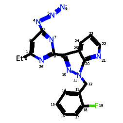 CCc1[c]c(N=[N+]=[N-])nc(-c2nn(Cc3ccccc3F)c3ncccc23)n1